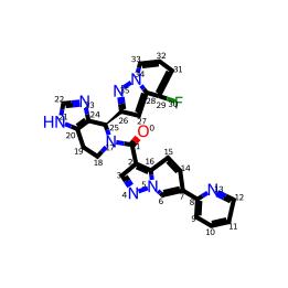 O=C(c1cnn2cc(-c3ccccn3)ccc12)N1CCc2[nH]cnc2[C@H]1c1cc2c(F)cccn2n1